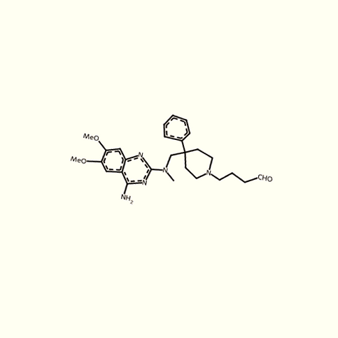 COc1cc2nc(N(C)CC3(c4ccccc4)CCN(CCCC=O)CC3)nc(N)c2cc1OC